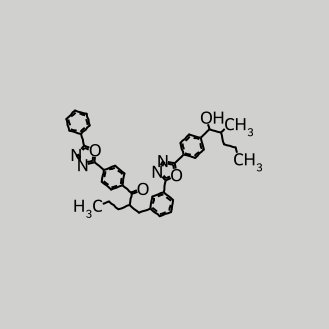 CCCC(Cc1cccc(-c2nnc(-c3ccc(C(O)C(C)CCC)cc3)o2)c1)C(=O)c1ccc(-c2nnc(-c3ccccc3)o2)cc1